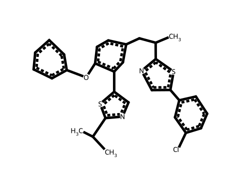 CC(C)c1ncc(-c2cc(CC(C)c3ncc(-c4cccc(Cl)c4)s3)ccc2Oc2ccccc2)s1